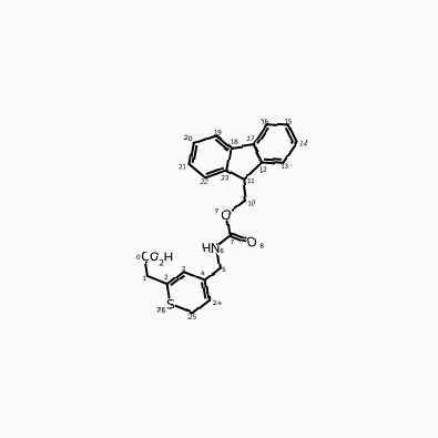 O=C(O)CC1=CC(CNC(=O)OCC2c3ccccc3-c3ccccc32)=CCS1